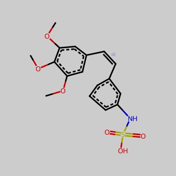 COc1cc(/C=C\c2cccc(NS(=O)(=O)O)c2)cc(OC)c1OC